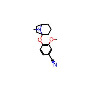 COc1cc(C#N)ccc1OC12CCCC(CC1)N2C